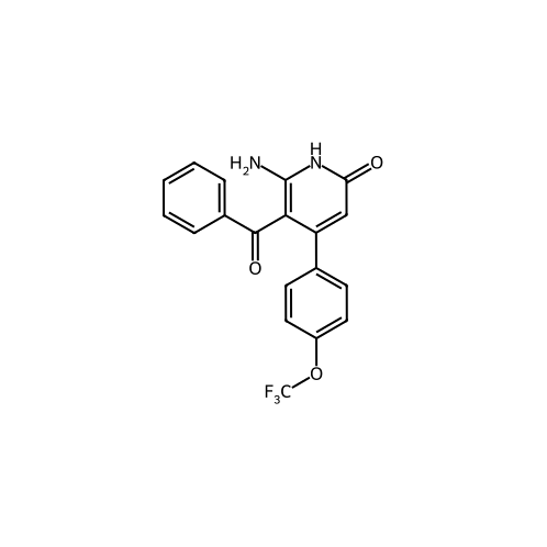 Nc1[nH]c(=O)cc(-c2ccc(OC(F)(F)F)cc2)c1C(=O)c1ccccc1